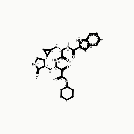 O=C(NC1CCCCC1)C(=O)[C@H](C[C@@H]1CCNC1=O)NC(=O)[C@H](CC1CC1)NC(=O)c1cc2ccccc2[nH]1